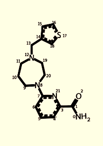 NC(=O)c1[c]ccc(N2CCCN(Cc3ccsc3)CC2)n1